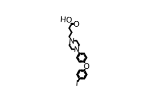 O=C(O)CCCN1CCN(c2ccc(Oc3ccc(I)cc3)cc2)CC1